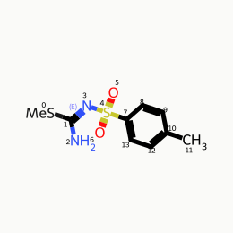 CS/C(N)=N/S(=O)(=O)c1ccc(C)cc1